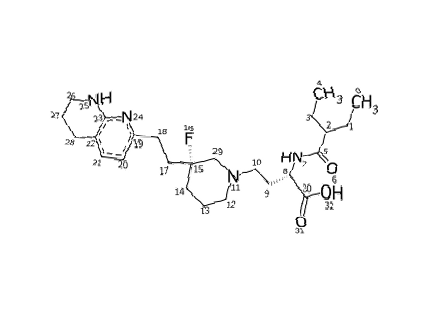 CCC(CC)C(=O)N[C@@H](CCN1CCC[C@@](F)(CCc2ccc3c(n2)NCCC3)C1)C(=O)O